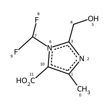 Cc1nc(CO)n(C(F)F)c1C(=O)O